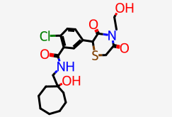 O=C(NCC1(O)CCCCCCC1)c1cc(C2SCC(=O)N(CCO)C2=O)ccc1Cl